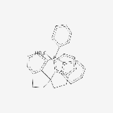 O=C(O)c1cccc2c1C1(CC2)CCc2cccc(P(c3ccccc3)c3ccccc3)c21